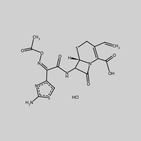 C=CC1=C(C(=O)O)N2C(=O)C(NC(=O)/C(=N\OC(C)=O)c3csc(N)n3)[C@@H]2SC1.Cl